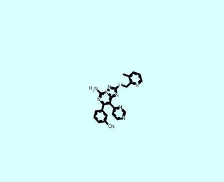 Cc1cccnc1COc1nc2c(-c3ccncn3)c(-c3cccc(C#N)c3)nc(N)n2n1